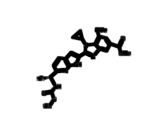 CCC[C@@H](NC(=O)OC(C)(C)C)c1ccc2cc(-c3nc4cc(C(=O)OC)cc(OC)c4n3C3CC3)[nH]c2n1